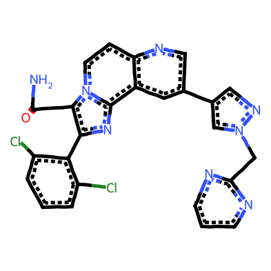 NC(=O)c1c(-c2c(Cl)cccc2Cl)nc2c3cc(-c4cnn(Cc5ncccn5)c4)cnc3ccn12